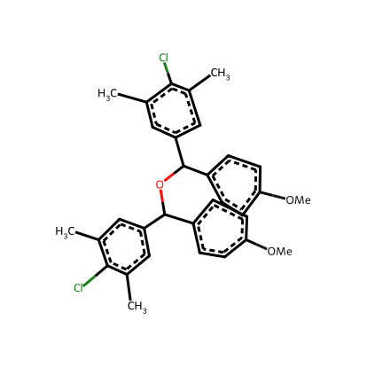 COc1ccc(C(OC(c2ccc(OC)cc2)c2cc(C)c(Cl)c(C)c2)c2cc(C)c(Cl)c(C)c2)cc1